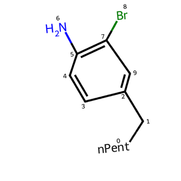 CCCCCCc1ccc(N)c(Br)c1